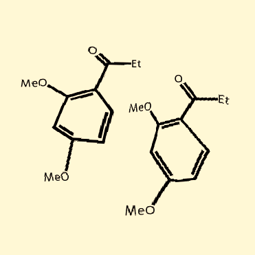 CCC(=O)c1ccc(OC)cc1OC.CCC(=O)c1ccc(OC)cc1OC